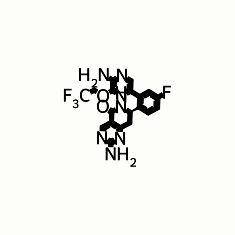 Nc1ncc2c(n1)C[C@H](c1ccc(F)cc1-c1cnc(N)c(OCC(F)(F)F)n1)NC2=O